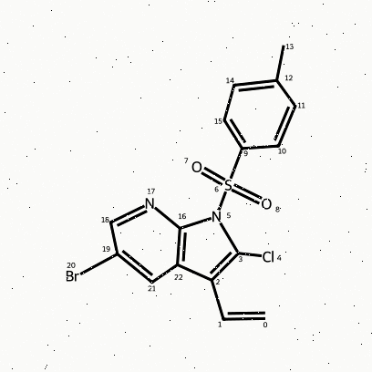 C=Cc1c(Cl)n(S(=O)(=O)c2ccc(C)cc2)c2ncc(Br)cc12